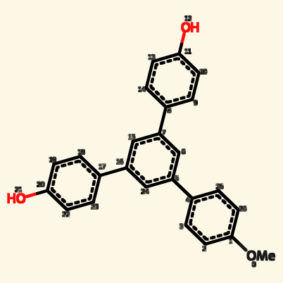 COc1ccc(-c2cc(-c3ccc(O)cc3)cc(-c3ccc(O)cc3)c2)cc1